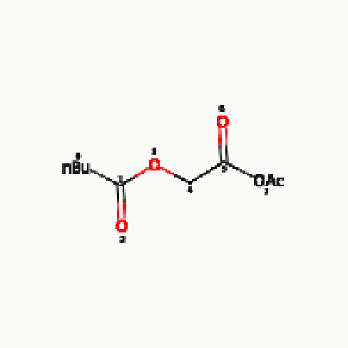 CCCCC(=O)OCC(=O)OC(C)=O